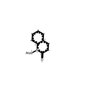 CNn1c(=O)ccc2ccccc21